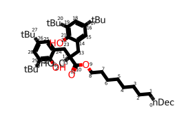 CCCCCCCCCCCCCCCCCCOC(=O)C(Cc1cc(C(C)(C)C)cc(C(C)(C)C)c1O)(Cc1cc(C(C)(C)C)cc(C(C)(C)C)c1O)C(=O)O